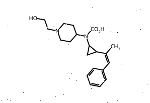 CC(=Cc1ccccc1)C1CC1N(C(=O)O)C1CCN(CCO)CC1